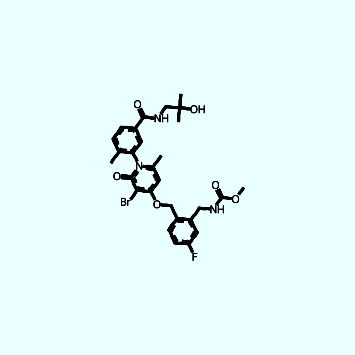 COC(=O)NCc1cc(F)ccc1COc1cc(C)n(-c2cc(C(=O)NCC(C)(C)O)ccc2C)c(=O)c1Br